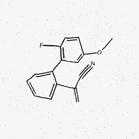 C=C(C#N)c1ccccc1-c1cc(OC)ccc1F